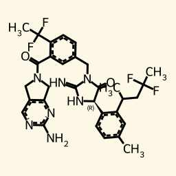 Cc1ccc([C@H]2NC(=N)N(Cc3ccc(C(C)(F)F)c(C(=O)N4Cc5cnc(N)nc5C4)c3)C2=O)c(C(C)CC(C)(F)F)c1